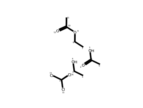 CC(=O)O.CCO.CCOC(C)=O.ClC(Cl)Cl